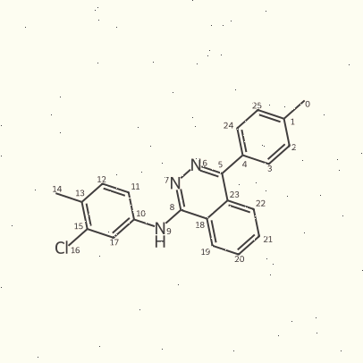 Cc1ccc(-c2nnc(Nc3ccc(C)c(Cl)c3)c3ccccc23)cc1